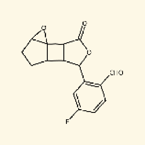 O=Cc1ccc(F)cc1C1OC(=O)C2C1C1CCC3OC312